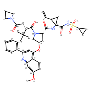 C=CC1C[C@]1(NC(=O)[C@@H]1C[C@@H](Oc2cc(-c3ccccc3)nc3cc(OC)ccc23)CN1C(=O)[C@@H](CC(=O)N1CCC1)C(C)(C)C)C(=O)NS(=O)(=O)C1CC1